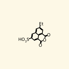 CCc1cc2c3c(cc(S(=O)(=O)O)cc3c1)C(=O)OC2=O